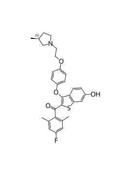 Cc1cc(F)cc(C)c1C(=O)c1sc2cc(O)ccc2c1Oc1ccc(OCCN2CC[C@H](C)C2)cc1